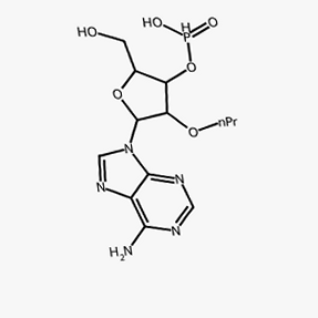 CCCOC1C(O[PH](=O)O)C(CO)OC1n1cnc2c(N)ncnc21